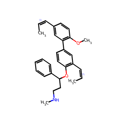 C/C=C\c1ccc(OC)c(-c2ccc(OC(CCNC)c3ccccc3)c(/C=C\C)c2)c1